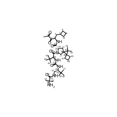 CC(=O)C(=O)C(CC1CCC1)NC(=O)[C@@H]1C[C@@]2(CN1C(=O)[C@@H](NC(=O)N[C@H](CNC(=O)C(C)(C)N)C(C)(C)C)C(C)(C)C)C(C)(C)C21CCC1